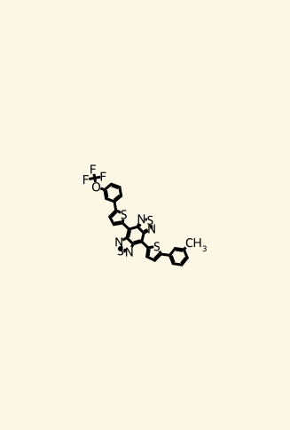 Cc1cccc(-c2ccc(-c3c4c(c(-c5ccc(-c6cccc(OC(F)(F)F)c6)s5)c5nsnc35)N=S=N4)s2)c1